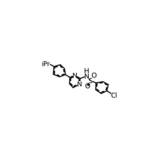 CC(C)c1ccc(-c2ccnc(NS(=O)(=O)c3ccc(Cl)cc3)n2)cc1